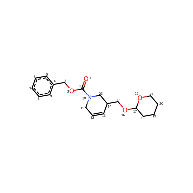 O=C(OCc1ccccc1)N1CC=CC(COC2CCCCO2)C1